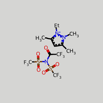 CC[n+]1c(C)cc(C)n1C.O=C(N(S(=O)(=O)C(F)(F)F)S(=O)(=O)C(F)(F)F)C(F)(F)F